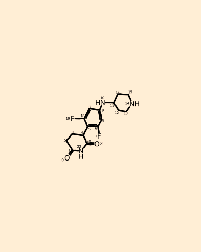 O=C1CCC(c2c(F)cc(NC3CCNCC3)cc2F)C(=O)N1